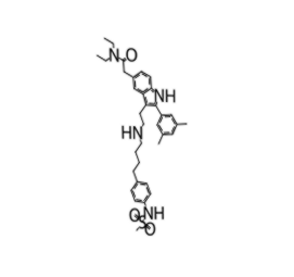 CCN(CC)C(=O)Cc1ccc2[nH]c(-c3cc(C)cc(C)c3)c(CCNCCCCc3ccc(NS(C)(=O)=O)cc3)c2c1